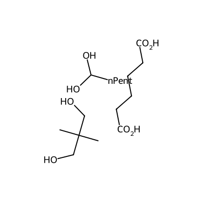 CC(C)(CO)CO.CCCCCC(O)O.O=C(O)CCCCC(=O)O